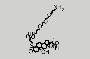 CC12CCC(=O)C(SCCC(=O)ONCCCOCCOCCOCCCN)=C1CCC1C2C(O)CC2(C)C1CC[C@]2(O)C(=O)CO